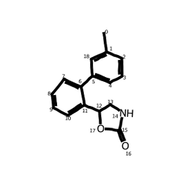 Cc1cccc(-c2ccccc2C2CNC(=O)O2)c1